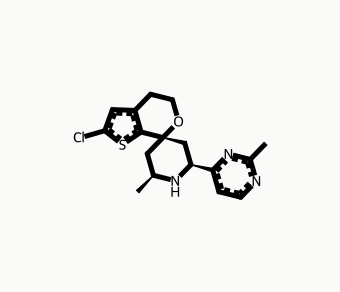 Cc1nccc([C@@H]2C[C@]3(C[C@H](C)N2)OCCc2cc(Cl)sc23)n1